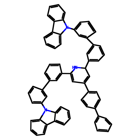 C1=C(c2ccc(-c3ccccc3)cc2)C=C(c2cccc(-c3cccc(-n4c5ccccc5c5ccccc54)c3)c2)NC1c1cccc(-c2cccc(-n3c4ccccc4c4ccccc43)c2)c1